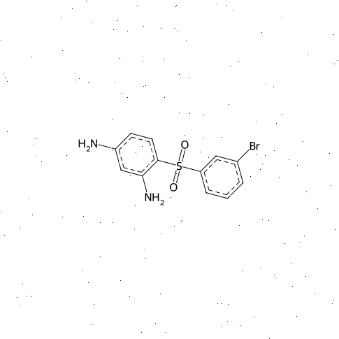 Nc1ccc(S(=O)(=O)c2cccc(Br)c2)c(N)c1